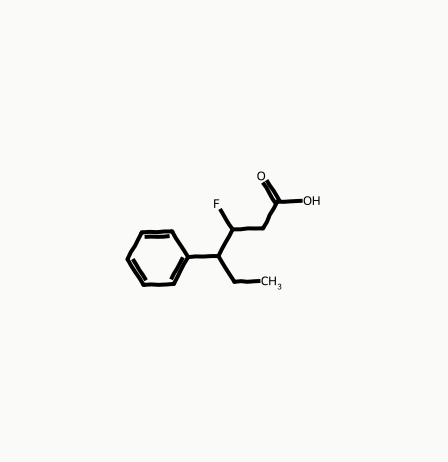 CCC(c1ccccc1)C(F)CC(=O)O